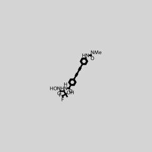 CNC(=O)Nc1ccc(C#CC#Cc2ccc(C(=O)NC(C(=O)NO)C(C)(O)C(F)F)cc2)cc1